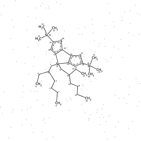 CCCCC(CC)C[Si]1(CC(CC)CCCC)c2cc([Si](C)(C)C)sc2-c2sc([Si](C)(C)C)cc21